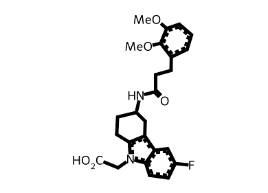 COc1cccc(CCC(=O)NC2CCc3c(c4cc(F)ccc4n3CC(=O)O)C2)c1OC